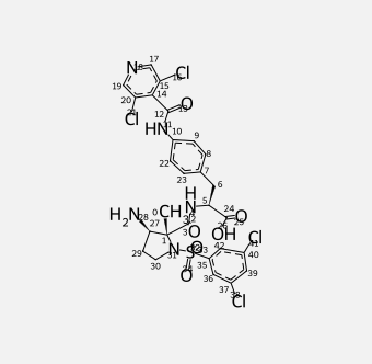 C[C@]1(C(=O)N[C@@H](Cc2ccc(NC(=O)c3c(Cl)cncc3Cl)cc2)C(=O)O)[C@H](N)CCN1S(=O)(=O)c1cc(Cl)cc(Cl)c1